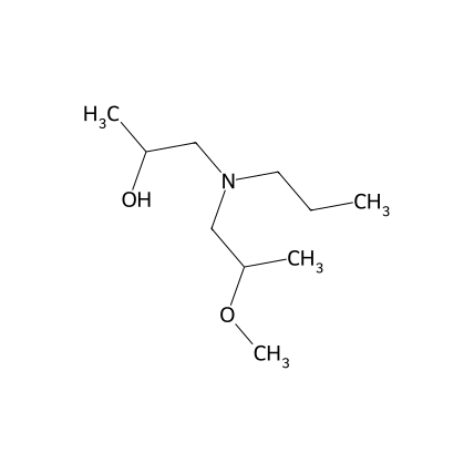 CCCN(CC(C)O)CC(C)OC